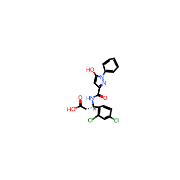 O=C(O)C[C@H](NC(=O)c1cc(O)n(-c2ccccc2)n1)c1ccc(Cl)cc1Cl